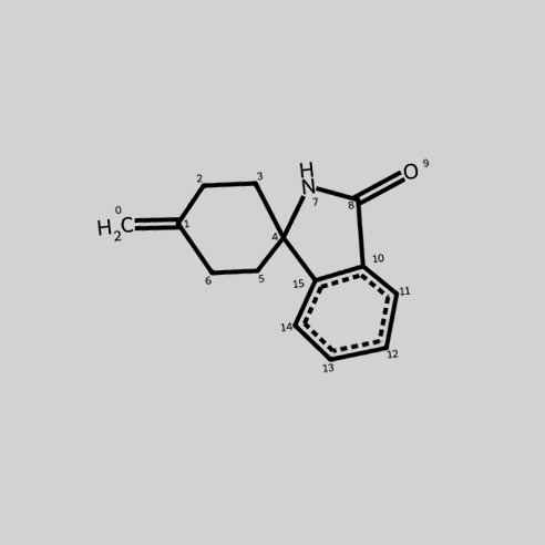 C=C1CCC2(CC1)NC(=O)c1ccccc12